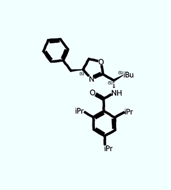 CC[C@H](C)[C@H](NC(=O)c1c(C(C)C)cc(C(C)C)cc1C(C)C)C1=N[C@@H](Cc2ccccc2)CO1